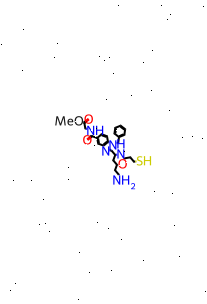 COC(=O)CNC(=O)c1ccc2c(c1)nc(C(CCCCN)NC(=O)CCS)n2Cc1ccccc1